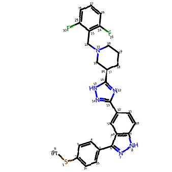 CC(C)Sc1ccc(-c2n[nH]c3ccc(-c4n[nH]c([C@@H]5CCCN(Cc6c(F)cccc6F)C5)n4)cc23)cc1